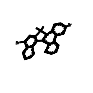 CC1(C)c2cc(Br)c3ccccc3c2-c2c1c1ccc(Br)cc1c1ccccc21